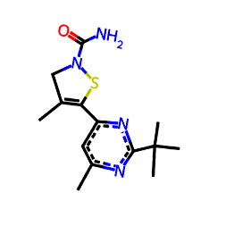 CC1=C(c2cc(C)nc(C(C)(C)C)n2)SN(C(N)=O)C1